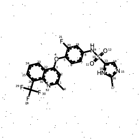 Cc1cc(Oc2ccc(NS(=O)(=O)c3cnc(C)[nH]3)cc2F)c2cccc(C(F)(F)F)c2n1